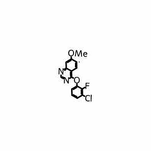 COc1[c]cc2c(Oc3cccc(Cl)c3F)ncnc2c1